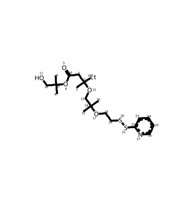 CCC(C)(CC(=O)OC(C)(C)CO)OCC(C)(C)OCCSSc1ccccn1